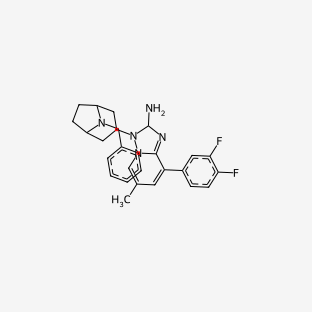 CC1=CN2C(=NC(N)N2C2CC3CCC(C2)N3Cc2ccccc2)C(c2ccc(F)c(F)c2)=C1